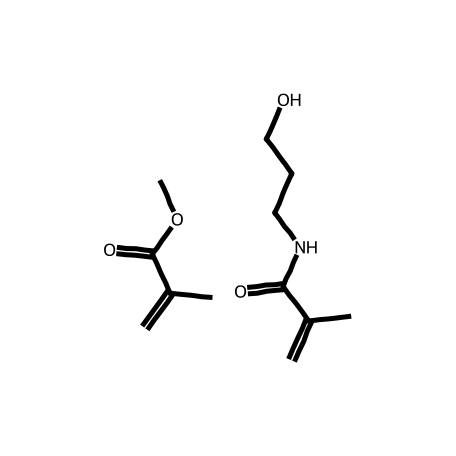 C=C(C)C(=O)NCCCO.C=C(C)C(=O)OC